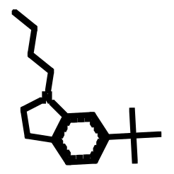 CCCCN1CCc2ccc(C(C)(C)C)cc21